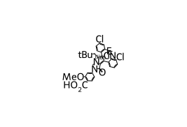 COc1cc(N2CN3C(=C(c4cccc(Cl)c4F)[C@@](C#N)(c4ccc(Cl)cc4F)[C@@H]3CC(C)(C)C)C2=O)ccc1C(=O)O